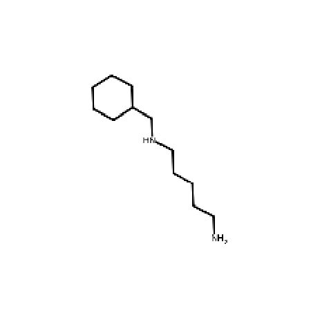 NCCCCCNCC1CCCCC1